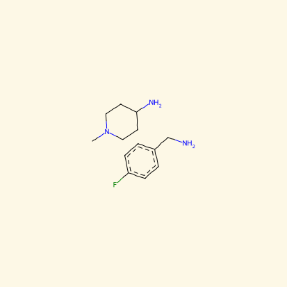 CN1CCC(N)CC1.NCc1ccc(F)cc1